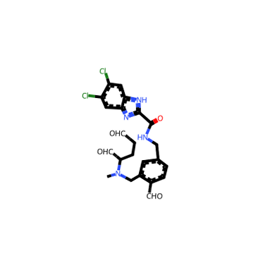 CN(Cc1cc(CNC(=O)c2nc3cc(Cl)c(Cl)cc3[nH]2)ccc1C=O)C(C=O)CCC=O